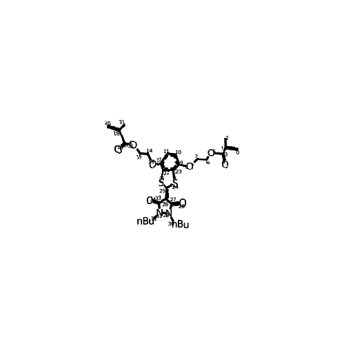 C=C(C)C(=O)OCCOc1ccc(OCCOC(=O)C(=C)C)c2c1SC(=C1C(=O)N(CCCC)N(CCCC)C1=O)S2